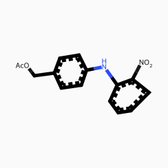 CC(=O)OCc1ccc(Nc2ccccc2[N+](=O)[O-])cc1